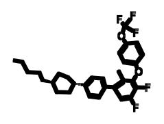 CCCCC[C@H]1CC[C@H](c2ccc(-c3cc(F)c(F)c(Oc4ccc(OC(F)(F)F)cc4)c3C)cc2)CC1